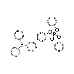 O=P(Oc1ccccc1)(Oc1ccccc1)Oc1ccccc1.c1ccc(B(c2ccccc2)c2ccccc2)cc1